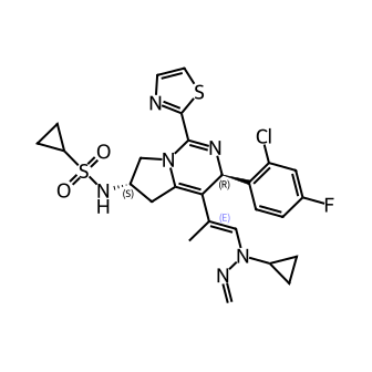 C=NN(/C=C(\C)C1=C2C[C@H](NS(=O)(=O)C3CC3)CN2C(c2nccs2)=N[C@H]1c1ccc(F)cc1Cl)C1CC1